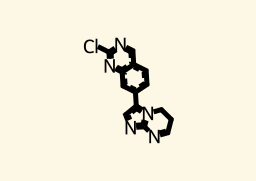 Clc1ncc2ccc(-c3cnc4n3CCC=N4)cc2n1